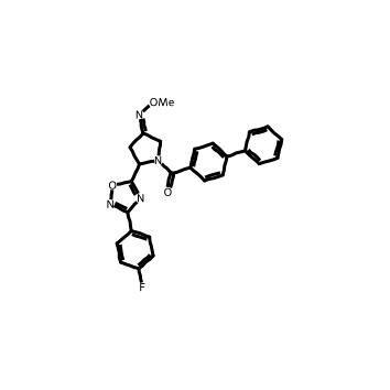 CON=C1CC(c2nc(-c3ccc(F)cc3)no2)N(C(=O)c2ccc(-c3ccccc3)cc2)C1